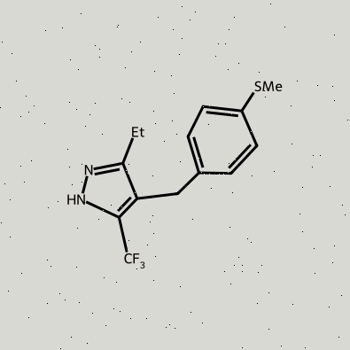 [CH2]Cc1n[nH]c(C(F)(F)F)c1Cc1ccc(SC)cc1